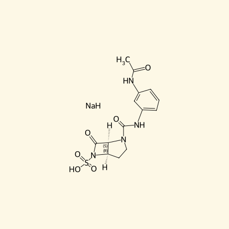 CC(=O)Nc1cccc(NC(=O)N2CC[C@@H]3[C@H]2C(=O)N3S(=O)(=O)O)c1.[NaH]